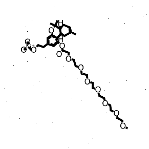 COCCOCCOCCOCCOCCOCCOCC(=O)Oc1cc(CCO[N+](=O)[O-])cc2c1[C@@H]1CC(C)=CC[C@H]1C(C)(C)O2